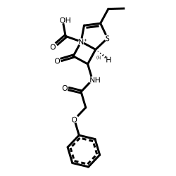 CCC1=C[N+]2(C(=O)O)C(=O)C(NC(=O)COc3ccccc3)[C@@H]2S1